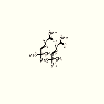 CNC(=O)O/N=C/C(C)(C)SC.CNC(=O)O/N=C/C(C)(C)SC